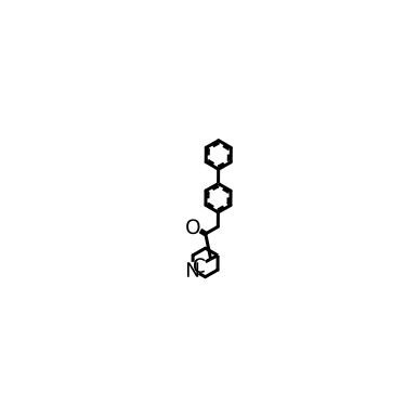 O=C(Cc1ccc(-c2ccccc2)cc1)C1CN2CCC1CC2